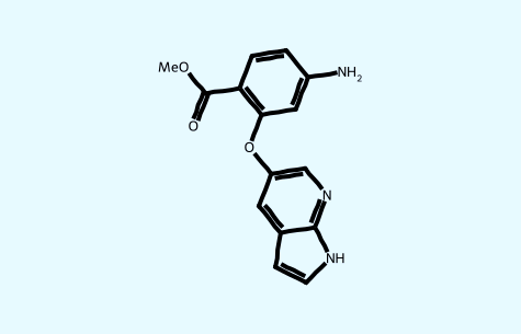 COC(=O)c1ccc(N)cc1Oc1cnc2[nH]ccc2c1